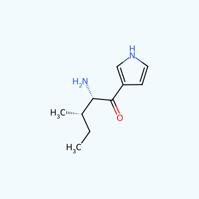 CC[C@H](C)[C@H](N)C(=O)c1cc[nH]c1